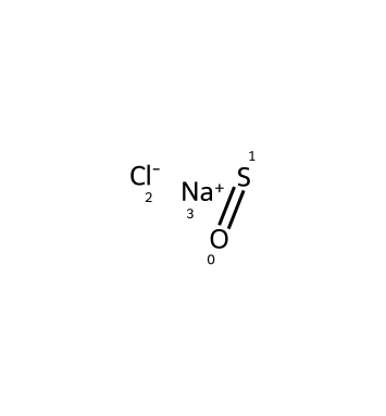 O=S.[Cl-].[Na+]